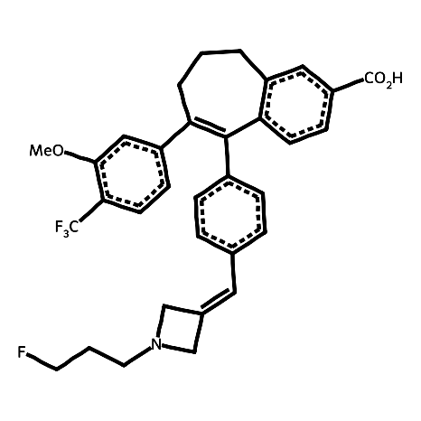 COc1cc(C2=C(c3ccc(C=C4CN(CCCF)C4)cc3)c3ccc(C(=O)O)cc3CCC2)ccc1C(F)(F)F